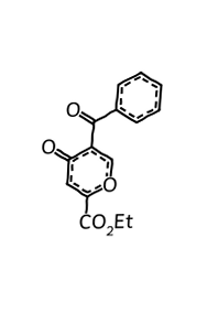 CCOC(=O)c1cc(=O)c(C(=O)c2ccccc2)co1